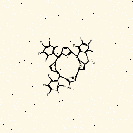 O=[N+]([O-])C1=CC2=NC1=C(c1c(F)c(F)c(F)c(F)c1F)C1=NC(=C(c3c(F)c(F)c(F)c(F)c3F)C3=NC(=C(c4c(F)c(F)c(F)c(F)c4F)c4[nH]c2cc4[N+](=O)[O-])C=C3)C=C1